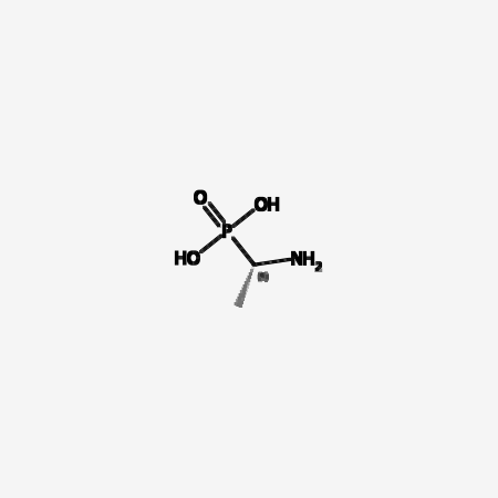 C[C@@H](N)P(=O)(O)O